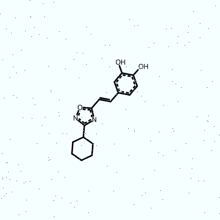 Oc1ccc(/C=C/c2nc(C3CCCCC3)no2)cc1O